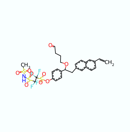 C=Cc1ccc2cc(CC(OCCCC=O)c3ccc(OS(=O)(=O)C(F)(F)C(F)(F)S(=O)(=O)NS(C)(=O)=O)cc3)ccc2c1